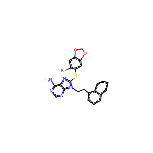 Nc1ncnc2c1nc(Sc1cc3c(cc1Br)OCO3)n2CCc1cccc2ccccc12